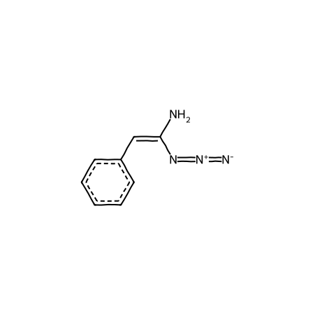 [N-]=[N+]=NC(N)=Cc1ccccc1